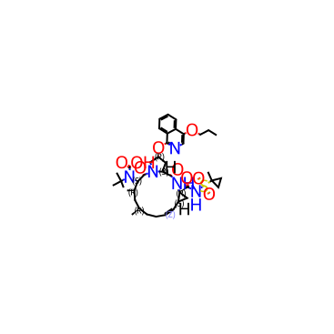 CCCOc1cnc(O[C@@H]2C[C@H]3C(=O)N[C@]4(C(=O)NS(=O)(=O)C5(C)CC5)C[C@H]4/C=C\CC[C@@H](C)C[C@@H](C)[C@H](N(C(=O)O)C(C)(C)C)C(=O)N3C2)c2ccccc12